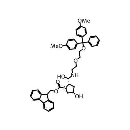 COc1ccc(C(OCCOCCNC(O)[C@@H]2C[C@@H](O)CN2C(=O)OCC2c3ccccc3-c3ccccc32)(c2ccccc2)c2ccc(OC)cc2)cc1